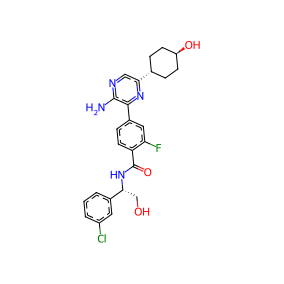 Nc1ncc([C@H]2CC[C@H](O)CC2)nc1-c1ccc(C(=O)N[C@H](CO)c2cccc(Cl)c2)c(F)c1